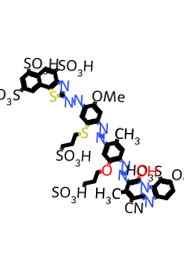 COc1cc(N=Nc2cc(OCCCS(=O)(=O)O)c(N=Nc3c(C)c(C#N)c4nc5ccc(OC)c(S(=O)(=O)O)c5n4c3O)cc2C)c(SCCCS(=O)(=O)O)cc1N=Nc1nc2c(S(=O)(=O)O)cc3c(S(=O)(=O)O)cc(S(=O)(=O)O)cc3c2s1